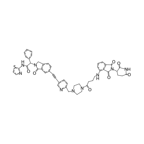 O=C1CCC(N2C(=O)c3cccc(NCCCC(=O)N4CCN(Cc5ccc(C#Cc6ccc7c(c6)C(=O)N(C(C(=O)Nc6nccs6)c6ccccc6)C7)cn5)CC4)c3C2=O)C(=O)N1